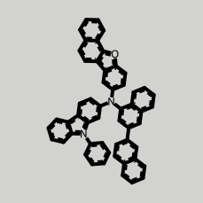 c1ccc(-n2c3ccccc3c3ccc(N(c4ccc5oc6c7ccccc7ccc6c5c4)c4cc(-c5ccc6ccccc6c5)cc5ccccc45)cc32)cc1